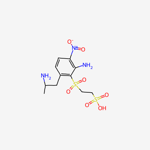 CC(N)Cc1ccc([N+](=O)[O-])c(N)c1S(=O)(=O)CCS(=O)(=O)O